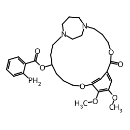 COc1cc2cc(c1OC)OCCCC(OC(=O)c1ccccc1P)CCN1CCCN(CCCOC2=O)CC1